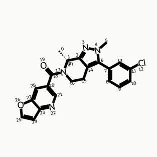 C[C@@H]1c2nn(C)c(-c3cccc(Cl)c3)c2CCN1C(=O)c1cnc2ccoc2c1